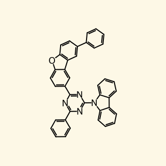 c1ccc(-c2ccc3oc4ccc(-c5nc(-c6ccccc6)nc(-n6c7ccccc7c7ccccc76)n5)cc4c3c2)cc1